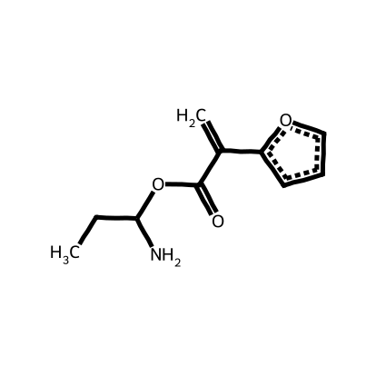 C=C(C(=O)OC(N)CC)c1ccco1